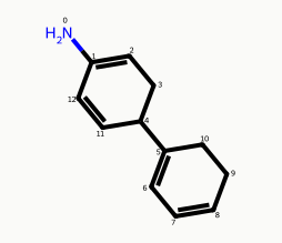 NC1=CCC(C2=CC=CCC2)C=C1